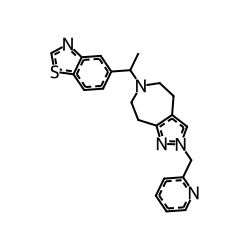 CC(c1ccc2scnc2c1)N1CCc2cn(Cc3ccccn3)nc2CC1